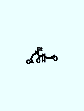 CCN(CC1CO1)C(=O)NCC1CO1